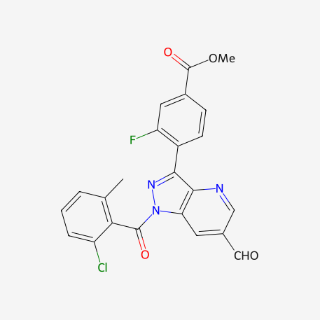 COC(=O)c1ccc(-c2nn(C(=O)c3c(C)cccc3Cl)c3cc(C=O)cnc23)c(F)c1